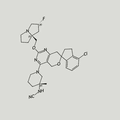 C[C@@]1(NC#N)CCCN(c2nc(OC[C@@]34CCCN3C[C@H](F)C4)nc3c2COC2(CCc4c(Cl)cccc42)C3)C1